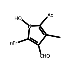 CCCc1c(C=O)c(C)c(C(C)=O)n1O